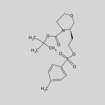 Cc1ccc(S(=O)(=O)OCC[C@@H]2COCCN2C(=O)OC(C)(C)C)cc1